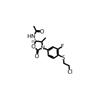 CC(=O)N[C@H]1OC(=O)N(c2ccc(SCCCl)c(F)c2)C1C